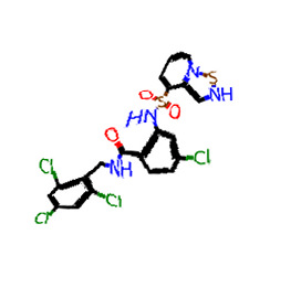 O=C(NCc1c(Cl)cc(Cl)cc1Cl)c1ccc(Cl)cc1NS(=O)(=O)C1=CC=CN2SNC=C12